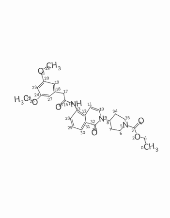 CCOC(=O)N1CCC(n2ccc3c(NC(=O)Cc4cc(OC)cc(OC)c4)cccc3c2=O)CC1